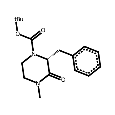 CN1CCN(C(=O)OC(C)(C)C)[C@H](Cc2ccccc2)C1=O